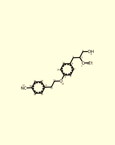 CCOC(CO)Cc1ccc(OCCc2ccc(C#N)cc2)cc1